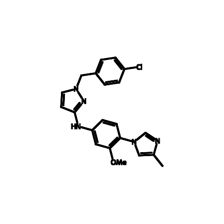 COc1cc(Nc2ccn(Cc3ccc(Cl)cc3)n2)ccc1-n1cnc(C)c1